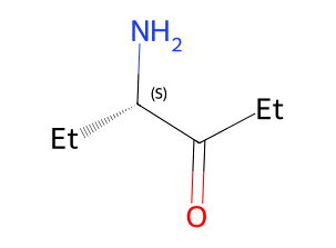 CCC(=O)[C@@H](N)CC